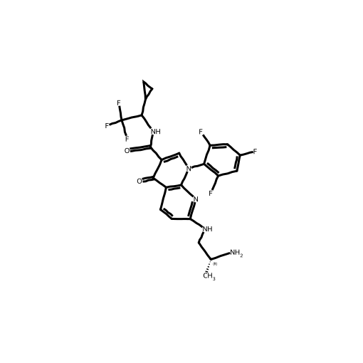 C[C@@H](N)CNc1ccc2c(=O)c(C(=O)NC(C3CC3)C(F)(F)F)cn(-c3c(F)cc(F)cc3F)c2n1